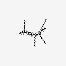 CCCCCCCCc1cc(-c2cc(CCCCCCCC)c(C(C)(C)C)s2)sc1-c1cc(CCCCCCCC)c(-c2nc3cc4sc(-c5sc(C(C)(C)C)cc5CCCCCCCC)nc4cc3s2)s1